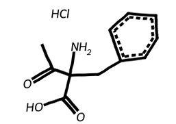 CC(=O)C(N)(Cc1ccccc1)C(=O)O.Cl